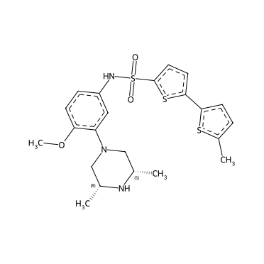 COc1ccc(NS(=O)(=O)c2ccc(-c3ccc(C)s3)s2)cc1N1C[C@@H](C)N[C@@H](C)C1